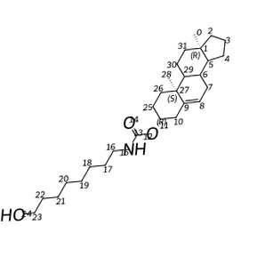 C[C@]12CCCC1C1CC=C3C[C@H](OC(=O)NCCCCCCCCO)CC[C@@]3(C)C1CC2